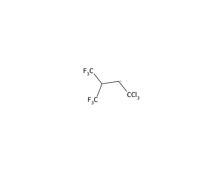 FC(F)(F)C([CH]C(Cl)(Cl)Cl)C(F)(F)F